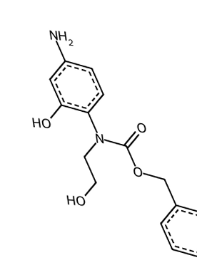 Nc1ccc(N(CCO)C(=O)OCc2ccccc2)c(O)c1